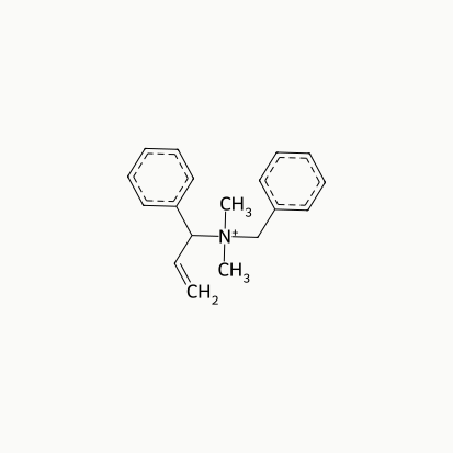 C=CC(c1ccccc1)[N+](C)(C)Cc1ccccc1